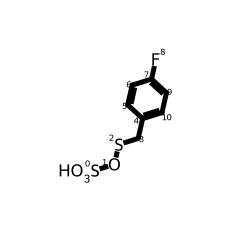 O=S(=O)(O)OSCc1ccc(F)cc1